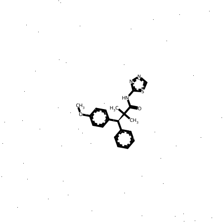 COc1ccc([C@H](c2ccccc2)C(C)(C)C(=O)Nc2nncs2)cc1